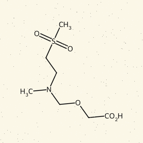 CN(CCS(C)(=O)=O)COCC(=O)O